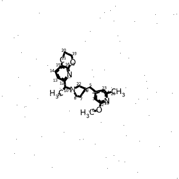 COc1cc(C[C@H]2CCN(C(C)c3ccc4c(n3)OCCC4)C2)cc(C)n1